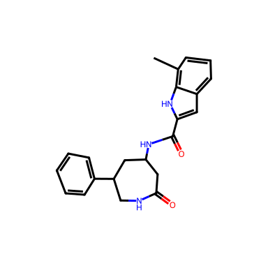 Cc1cccc2cc(C(=O)NC3CC(=O)NCC(c4ccccc4)C3)[nH]c12